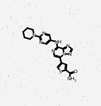 NC(=O)c1cc(-c2cnc(Nc3cnc(N4CCCCC4)nc3)c3ncnn23)cs1